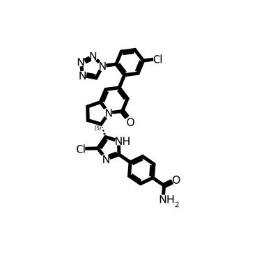 NC(=O)c1ccc(-c2nc(Cl)c([C@@H]3CCc4cc(-c5cc(Cl)ccc5-n5cnnn5)cc(=O)n43)[nH]2)cc1